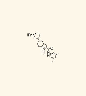 Cc1cc(F)cc(NC(=O)c2cc3cc(C4CCCN(C(C)C)C4)ccc3[nH]2)c1